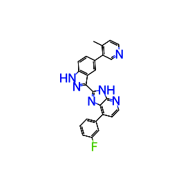 Cc1ccncc1-c1ccc2[nH]nc(-c3nc4c(-c5cccc(F)c5)ccnc4[nH]3)c2c1